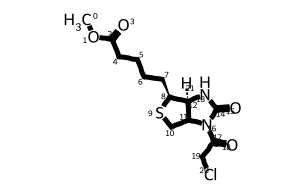 COC(=O)CCCC[C@@H]1SCC2[C@@H]1NC(=O)N2C(=O)CCl